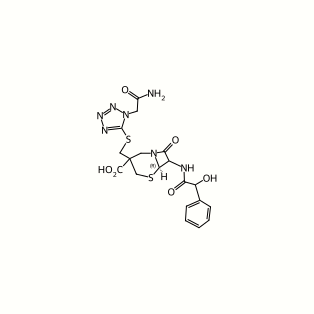 NC(=O)Cn1nnnc1SCC1(C(=O)O)CS[C@@H]2C(NC(=O)C(O)c3ccccc3)C(=O)N2C1